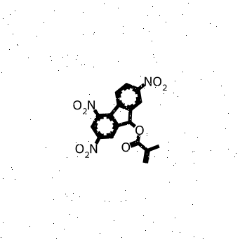 C=C(C)C(=O)OC1c2cc([N+](=O)[O-])ccc2-c2c1cc([N+](=O)[O-])cc2[N+](=O)[O-]